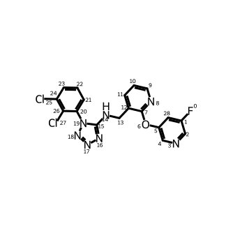 Fc1cncc(Oc2ncccc2CNc2nnnn2-c2cccc(Cl)c2Cl)c1